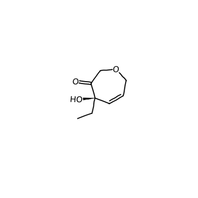 CC[C@@]1(O)C=CCOCC1=O